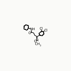 CO/N=C(\CCC(=O)Nc1ccccc1)c1ccc(Cl)c(Cl)c1